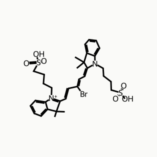 CC1(C)C(/C=C/C(Br)=C/C=C2/N(CCCCS(=O)(=O)O)c3ccccc3C2(C)C)=[N+](CCCCS(=O)(=O)O)c2ccccc21